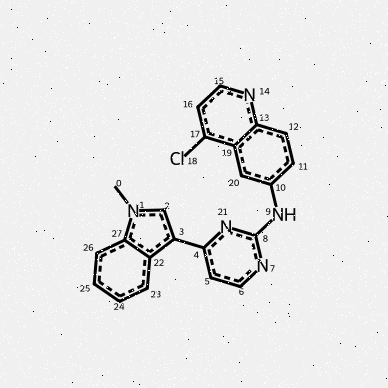 Cn1cc(-c2ccnc(Nc3ccc4nccc(Cl)c4c3)n2)c2ccccc21